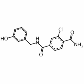 NC(=O)c1ccc(C(=O)NCc2cccc(O)c2)cc1Cl